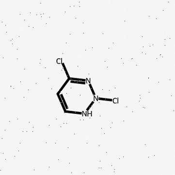 ClC1=NN(Cl)NC=C1